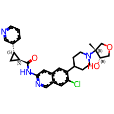 C[C@@]1(N2CCC(c3cc4cc(NC(=O)[C@H]5C[C@@H]5c5cccnc5)ncc4cc3Cl)CC2)COC[C@@H]1O